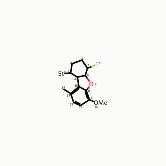 CCC1CCC(F)C2Oc3c(OC)ccc(C)c3C12